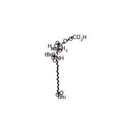 CC(C)(C)OC(=O)CCCCCCCCCCCCCCCCC(=O)N[C@@H](CCC(=O)NC(C)(C)C(=O)NCCOCCOCC(=O)O)C(=O)OC(C)(C)C